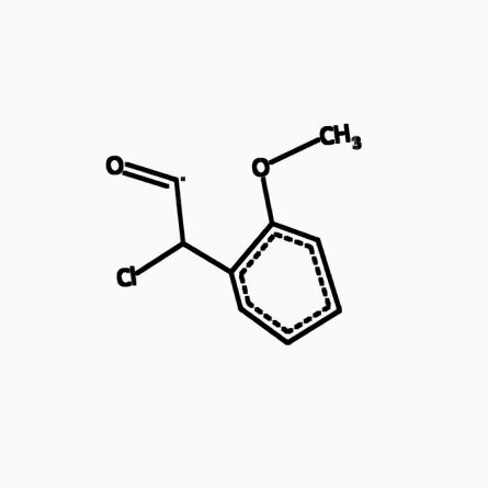 COc1ccccc1C(Cl)[C]=O